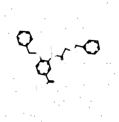 CC(=O)c1ccc(OCc2ccccc2)c(NC(=O)COCc2ccccc2)c1